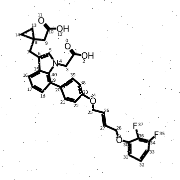 O=C(O)Cn1cc(CC2(CC(=O)O)CC2)c2cccc(-c3ccc(OCC=CCOc4cccc(F)c4F)cc3)c21